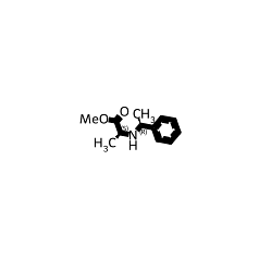 COC(=O)[C@H](C)N[C@H](C)c1ccccc1